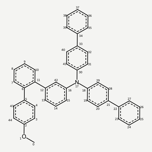 COc1ccc(-c2ccccc2-c2cccc(N(c3ccc(-c4ccccc4)cc3)c3ccc(-c4ccccc4)cc3)c2)cc1